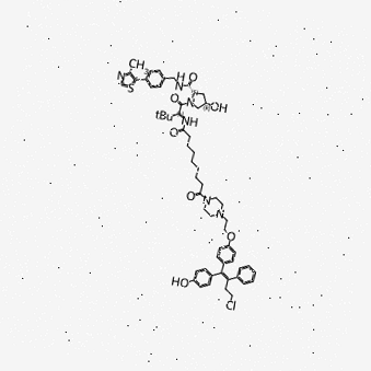 Cc1ncsc1-c1ccc(CNC(=O)[C@@H]2C[C@@H](O)CN2C(=O)[C@@H](NC(=O)CCCCCCCC(=O)N2CCN(CCOc3ccc(C(=C(CCCl)c4ccccc4)c4ccc(O)cc4)cc3)CC2)C(C)(C)C)cc1